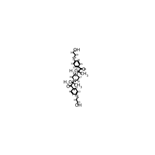 CC(C)(C(=O)c1ccc(SCCO)cc1)N1CCN(C(C)(C)C(=O)c2ccc(SCCO)cc2)CC1